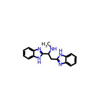 CNC(Cc1nc2ccccc2[nH]1)c1nc2ccccc2[nH]1